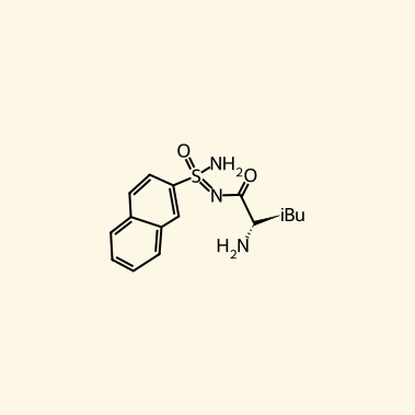 CC[C@H](C)[C@H](N)C(=O)N=S(N)(=O)c1ccc2ccccc2c1